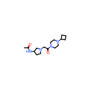 CC(=O)NC1CCN(CC(=O)N2CCN(C3CCC3)CC2)C1